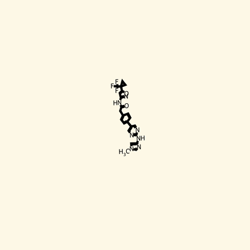 Cn1cnc(Nc2ncc(-c3ccc(CC(=O)Nc4cc(C5(C(F)(F)F)CC5)on4)cc3)cn2)c1